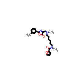 Cc1cccc(C2=NC(=CN(C)CCCCCCN(C)C(=O)c3ccco3)C(=O)O2)c1